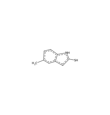 Cc1ccc2[nH]c(S)cc2c1